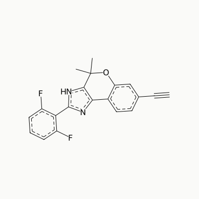 C#Cc1ccc2c(c1)OC(C)(C)c1[nH]c(-c3c(F)cccc3F)nc1-2